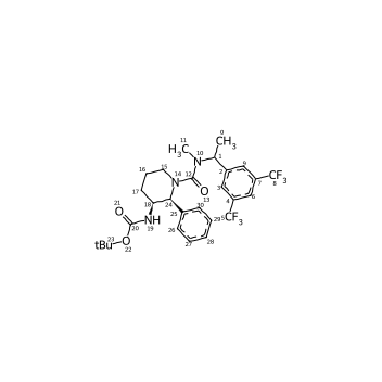 CC(c1cc(C(F)(F)F)cc(C(F)(F)F)c1)N(C)C(=O)N1CCC[C@H](NC(=O)OC(C)(C)C)[C@@H]1c1ccccc1